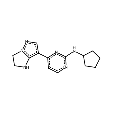 c1cc(-c2cnn3c2NCC3)nc(NC2CCCC2)n1